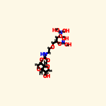 O=C(NCCOCC(CON(O)O)ON(O)O)O[C@@H]1CO[C@H]2[C@@H]1OC[C@H]2O